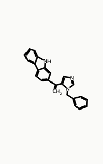 C=C(c1ccc2c(c1)[nH]c1ccccc12)c1cncn1Cc1ccccc1